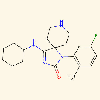 Bc1ccc(F)cc1N1C(=O)N=C(NC2CCCCC2)C12CCNCC2